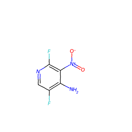 Nc1c(F)cnc(F)c1[N+](=O)[O-]